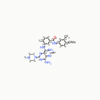 C=C/N=C1/C(N)=NC(N2CCN(C)CC2)=N/C1=C(/N)Nc1cc(C(=O)Nc2ccc(OC)c(C(F)(F)F)c2)ccc1C